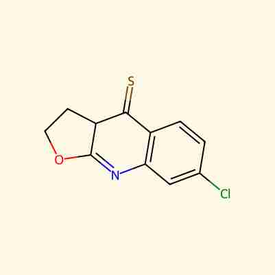 S=C1c2ccc(Cl)cc2N=C2OCCC12